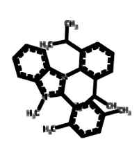 Cc1ccc(C)c(-c2n(-c3c(C(C)C)cccc3C(C)C)c3ccccc3[n+]2C)c1